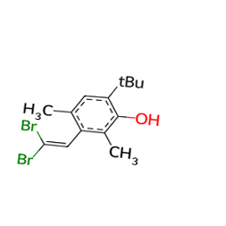 Cc1cc(C(C)(C)C)c(O)c(C)c1C=C(Br)Br